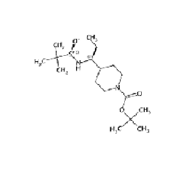 CC[C@H](N[S@+]([O-])C(C)(C)C)C1CCN(C(=O)OC(C)(C)C)CC1